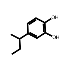 CCC(C)c1ccc(O)c(O)c1